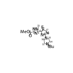 COC(=O)c1nc(-c2nc(N3CCN(C(C)(C)C)CC3)ncc2F)n(C)n1